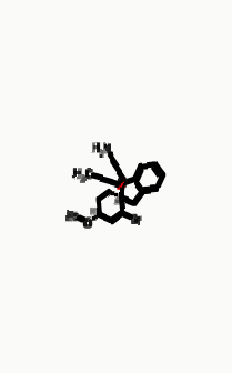 CCO[C@@H]1CC[C@]2(Cc3ccccc3C23N=C(C)C(N)=N3)C(Br)C1